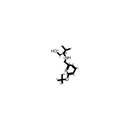 CC(C)[C@H](CO)NCc1cccc(OC(C)(C)C)n1